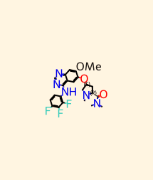 COc1cc2ncnc(Nc3ccc(F)c(F)c3F)c2cc1O[C@H]1C[C@H](C(=O)N(C)C)N(C)C1